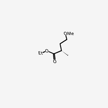 CCOC(=O)[C@@H](C)CCOC